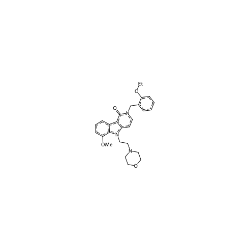 CCOc1ccccc1Cn1ccc2c(c1=O)c1cccc(OC)c1n2CCN1CCOCC1